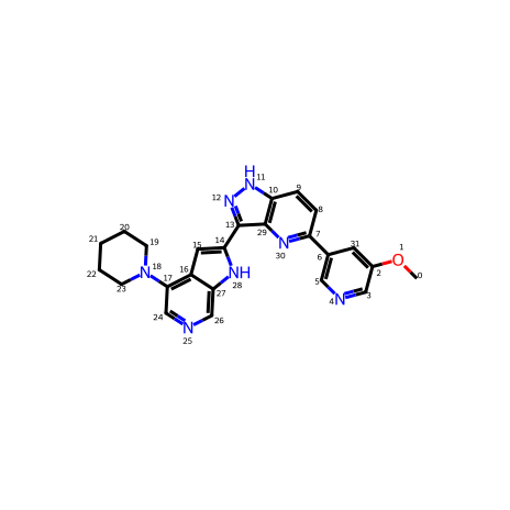 COc1cncc(-c2ccc3[nH]nc(-c4cc5c(N6CCCCC6)cncc5[nH]4)c3n2)c1